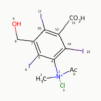 CC(=O)[N+](C)(Cl)c1c(I)c(CO)c(I)c(C(=O)O)c1I